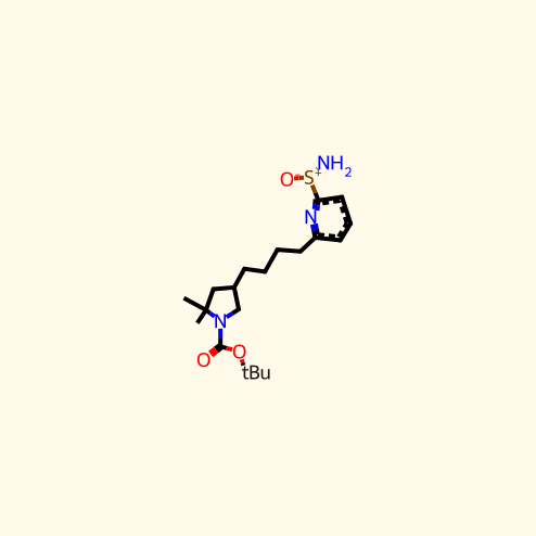 CC(C)(C)OC(=O)N1CC(CCCCc2cccc([S+](N)[O-])n2)CC1(C)C